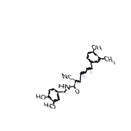 Cc1cc(/C=C/C=C/C=C(\C#N)C(=O)NCc2ccc(O)c(O)c2)ccc1O